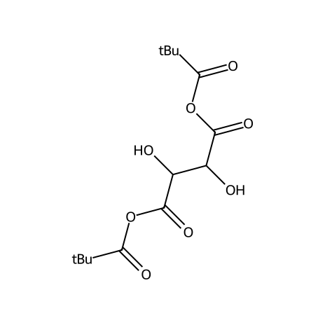 CC(C)(C)C(=O)OC(=O)C(O)C(O)C(=O)OC(=O)C(C)(C)C